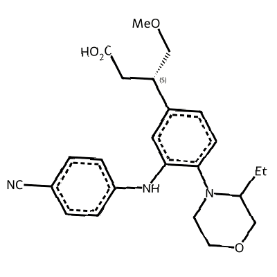 CCC1COCCN1c1ccc([C@@H](COC)CC(=O)O)cc1Nc1ccc(C#N)cc1